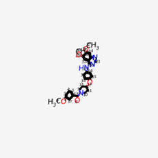 COc1cccc(C(=O)N2CCC(Oc3ccc(Nc4ncnc5cc(OC)c(OC)cc45)cc3)CC2)c1